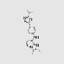 Cc1nc2c(Nc3ccc(-c4cnc(C(C)C)o4)cc3)cccn2c1C